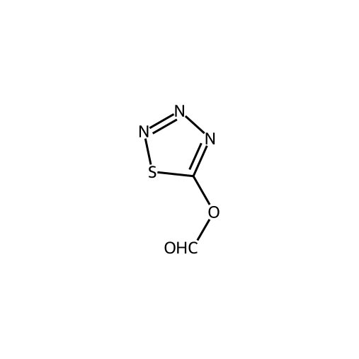 O=COc1nnns1